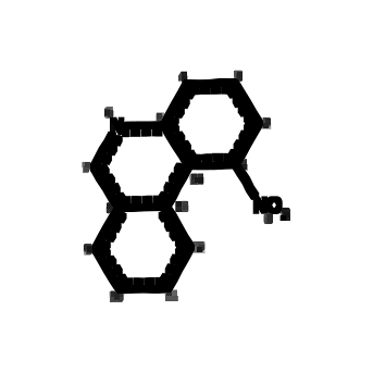 O=[N+]([O-])c1cccc2ncc3ccccc3c12